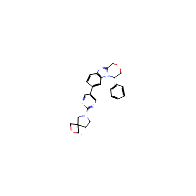 c1ccc([C@H]2COCc3nc4ccc(-c5cnc(N6CCC7(COC7)C6)nc5)cc4n32)cc1